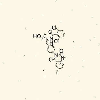 Cn1c(=O)n(-c2ccc(C[C@H](NC(=O)c3c(Cl)cccc3Cl)C(=O)O)cc2)c(=O)c2cc(I)ccc21